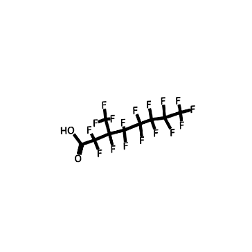 O=C(O)C(F)(F)C(F)(C(F)(F)F)C(F)(F)C(F)(F)C(F)(F)C(F)(F)C(F)(F)F